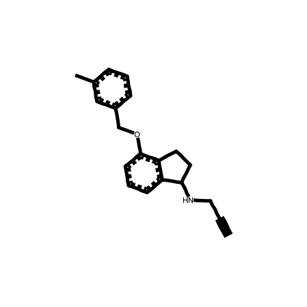 C#CCNC1CCc2c(OCc3cccc(C)c3)cccc21